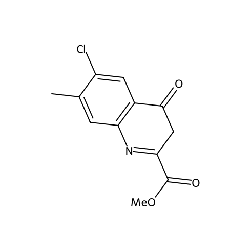 COC(=O)C1=Nc2cc(C)c(Cl)cc2C(=O)C1